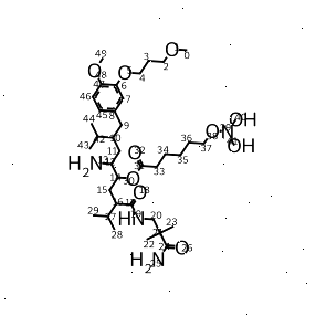 COCCCOc1cc(CC(CC(N)C(CC(C(=O)NCC(C)(C)C(N)=O)C(C)C)OC(=O)CCCCCON(O)O)C(C)C)ccc1OC